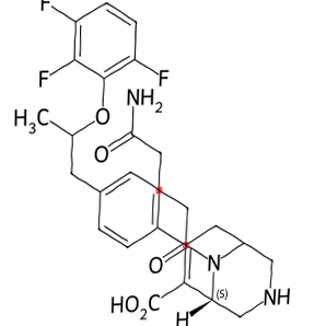 CC(Cc1ccc(C2=C(C(=O)O)[C@H]3CNCC(C2)N3C(=O)CCCC(N)=O)cc1)Oc1c(F)ccc(F)c1F